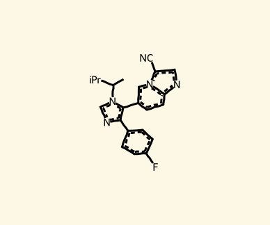 CC(C)C(C)n1cnc(-c2ccc(F)cc2)c1-c1ccc2ncc(C#N)n2c1